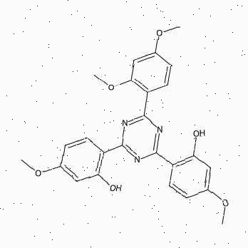 COc1ccc(-c2nc(-c3ccc(OC)cc3O)nc(-c3ccc(OC)cc3OC)n2)c(O)c1